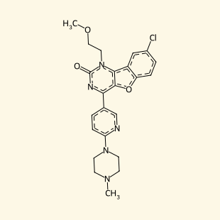 COCCn1c(=O)nc(-c2ccc(N3CCN(C)CC3)nc2)c2oc3ccc(Cl)cc3c21